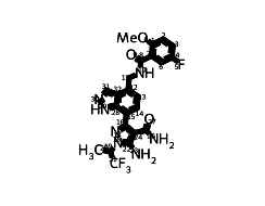 COc1ccc(F)cc1C(=O)NCc1ccc(-c2nn(C(C)C(F)(F)F)c(N)c2C(N)=O)c2[nH]ncc12